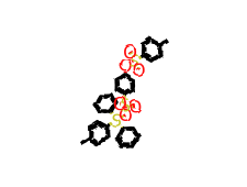 Cc1ccc(S(OS(=O)(=O)c2ccc(OS(=O)(=O)c3ccc(C)cc3)cc2)(c2ccccc2)c2ccccc2)cc1